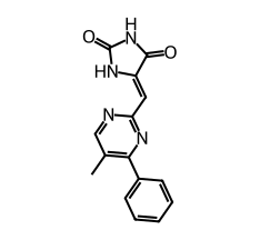 Cc1cnc(/C=C2\NC(=O)NC2=O)nc1-c1ccccc1